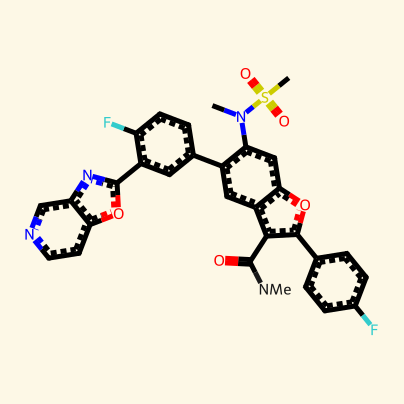 CNC(=O)c1c(-c2ccc(F)cc2)oc2cc(N(C)S(C)(=O)=O)c(-c3ccc(F)c(-c4nc5cnccc5o4)c3)cc12